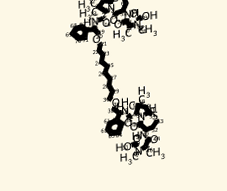 CC(C(=O)N[C@H]1CCS[C@H]2CC(C)(C)[C@@H](C(=O)NC(COCCCCCCCCCCOCC(NC(=O)[C@H]3N4C(=O)[C@@H](NC(=O)C(C)N(C)C(=O)O)CCS[C@H]4CC3(C)C)c3ccccc3)c3ccccc3)N2C1=O)N(C)C(=O)O